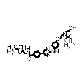 CC(C)N(CCO)CCOc1ccc(Nc2ncc(-c3ccc(C(=O)NCC(=O)OC(C)(C)C)cc3)cn2)cc1